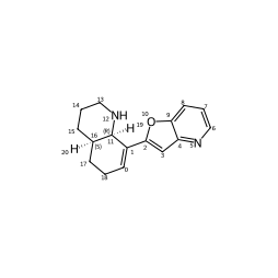 C1=C(c2cc3ncccc3o2)[C@@H]2NCCC[C@@H]2CC1